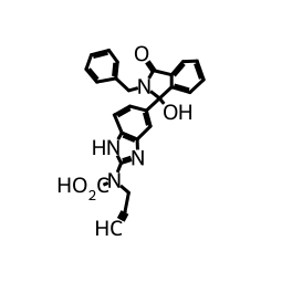 C#CCN(C(=O)O)c1nc2cc(C3(O)c4ccccc4C(=O)N3Cc3ccccc3)ccc2[nH]1